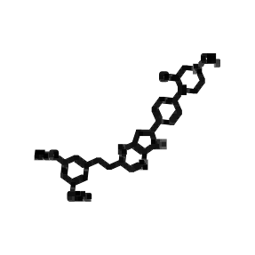 COc1cc(CCc2cnc3[nH]c(-c4ccc(N5CCN(C)CC5=O)cc4)cc3n2)cc(OC)c1